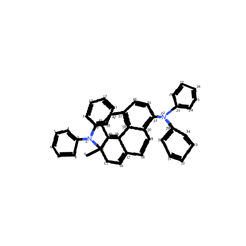 CC1(N(c2ccccc2)c2ccccc2)CC=c2ccc3c(N(c4ccccc4)c4ccccc4)ccc4c3c2=C1CC4